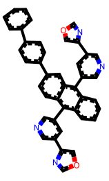 c1ccc(-c2ccc(-c3ccc4c(-c5cncc(-c6cocn6)c5)c5ccccc5c(-c5cncc(-c6cocn6)c5)c4c3)cc2)cc1